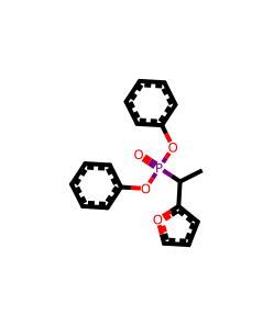 CC(c1ccco1)P(=O)(Oc1ccccc1)Oc1ccccc1